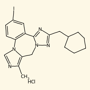 Cc1ncn2c1Cn1nc(CC3CCCCC3)nc1-c1cc(I)ccc1-2.Cl